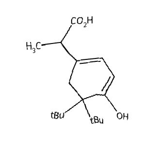 CC(C(=O)O)C1=CC=C(O)C(C(C)(C)C)(C(C)(C)C)C1